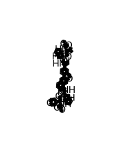 COC(=O)N[C@H](C(=O)N1[C@H](c2ncc(-c3ccc4c(c3)COc3cc5c(ccc6nc(C7C[C@@H]8CCC[C@@H]8N7C(=O)[C@@H](NC(=O)OC)C7CCOCC7)[nH]c65)cc3-4)[nH]2)C[C@@H]2CCC[C@@H]21)C(C)C